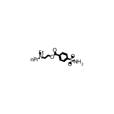 CCCN(CC)CCOC(=O)c1ccc(S(N)(=O)=O)cc1